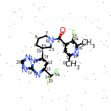 Cc1cc(C(=O)N2CCC[C@H](c3cc(C(F)F)nc4ncnn34)C2)c(F)c(C)n1